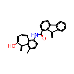 C=C1c2ccccc2-c2cccc(C(=O)Nc3ccc(C)c4c3C=CC=C(O)C4=C)c21